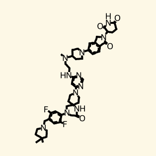 CN(CCNc1cc(N2CCC3(CC2)CN(c2cc(F)c(CN4CCC(C)(C)CC4)cc2F)CC(=O)N3)ncn1)C1CCN(c2ccc3c(c2)CN(C2CCC(=O)NC2=O)C3=O)CC1